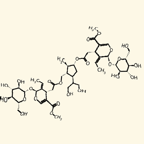 C/C=C1\[C@H](O[C@@H]2O[C@H](CO)[C@@H](O)[C@H](O)[C@H]2O)OC=C(C(=O)OC)[C@H]1CC(=O)OC[C@@H]1[C@@H](C)[C@H](OC(=O)C[C@@H]2C(C(=O)OC)=CO[C@@H](O[C@@H]3O[C@H](CO)[C@@H](O)[C@H](O)[C@H]3O)/C2=C\C)C[C@H]1C(CO)CO